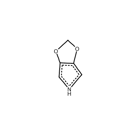 c1[nH]cc2c1OCO2